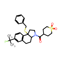 O=C(C1CCS(=O)(=O)CC1)N1CCC2(SCc3ccccc3)c3ccc(C(F)(C(F)(F)F)C(F)(F)F)cc3CCC12